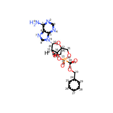 Nc1ncnc2c1ncn2[C@@H]1O[C@@]23CO[C@@H]1[C@@H]2OP(=O)(C(=O)OCc1ccccc1)OC3